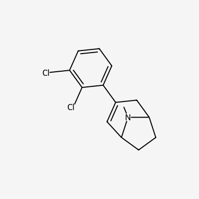 CN1C2C=C(c3cccc(Cl)c3Cl)CC1CC2